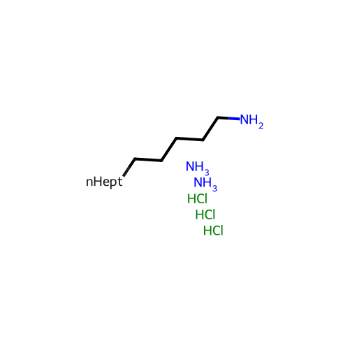 CCCCCCCCCCCCN.Cl.Cl.Cl.N.N